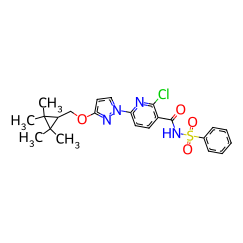 CC1(C)C(COc2ccn(-c3ccc(C(=O)NS(=O)(=O)c4ccccc4)c(Cl)n3)n2)C1(C)C